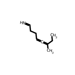 CCC(C)=C=CCCC=N